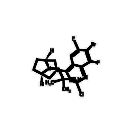 CC(C)(CN1[C@@H]2CC[C@H]1CN(c1nc(Cl)nc3c(F)c(Br)c(F)cc13)C2)C(=O)O